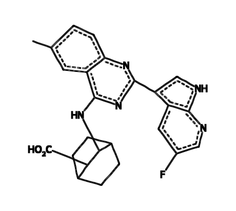 Cc1ccc2nc(-c3c[nH]c4ncc(F)cc34)nc(NC3C4CCC(CC4)C3C(=O)O)c2c1